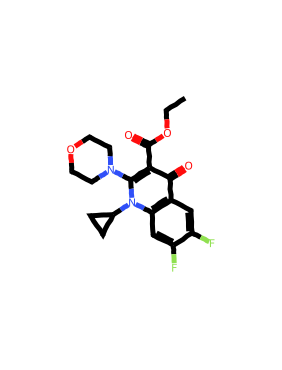 CCOC(=O)c1c(N2CCOCC2)n(C2CC2)c2cc(F)c(F)cc2c1=O